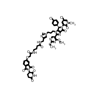 COc1ncc(-c2nc3c(n2CCCn2cc(CNC(=O)CCCNC(=O)COc4ccc5c(c4)C(=O)N(C4CCC(=O)NC4=O)C5=O)nn2)[C@@H](c2ccc(Cl)cc2)N(c2cc(Cl)cn(C)c2=O)C3=O)c(OC)n1